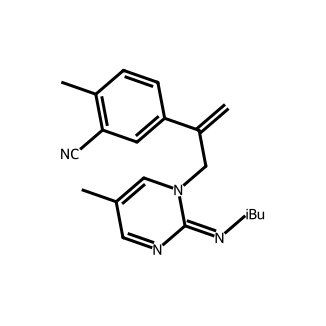 C=C(Cn1cc(C)cn/c1=N/C(C)CC)c1ccc(C)c(C#N)c1